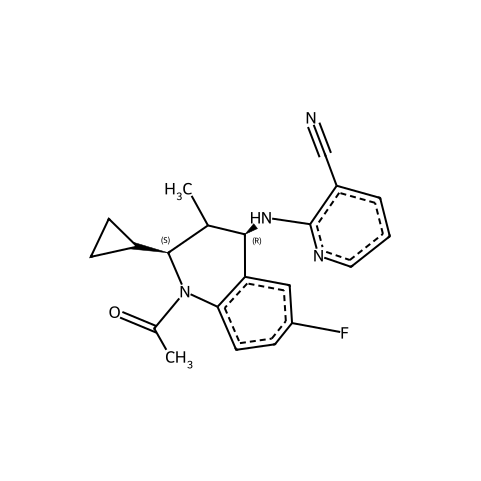 CC(=O)N1c2ccc(F)cc2[C@H](Nc2ncccc2C#N)C(C)[C@@H]1C1CC1